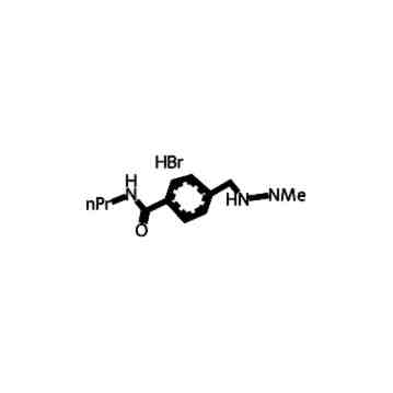 Br.CCCNC(=O)c1ccc(CNNC)cc1